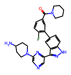 NC1CCN(c2cncc(-c3n[nH]c4ccc(-c5cc(C(=O)N6CCCCC6)ccc5F)cc34)n2)CC1